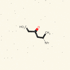 CCC[C@@H](C)CC(=O)CC(=O)O